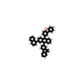 CC1(C)c2ccccc2-c2ccc(-c3c4ccccc4c(-c4ccc5oc6ccccc6c5c4)c4ccc(-c5cccc6ccccc56)cc34)cc21